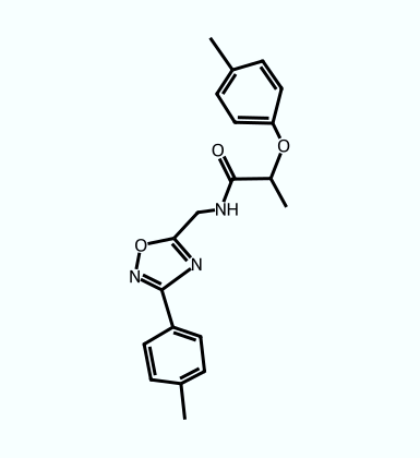 Cc1ccc(OC(C)C(=O)NCc2nc(-c3ccc(C)cc3)no2)cc1